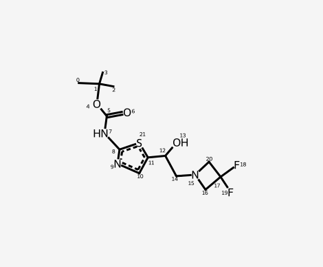 CC(C)(C)OC(=O)Nc1ncc(C(O)CN2CC(F)(F)C2)s1